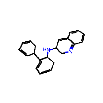 C1=CCC(C2=CC=CCC2NC2C=c3ccccc3=NC2)C=C1